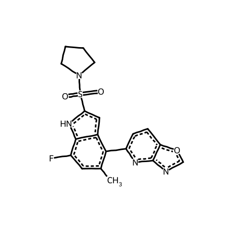 Cc1cc(F)c2[nH]c(S(=O)(=O)N3CCCC3)cc2c1-c1ccc2ocnc2n1